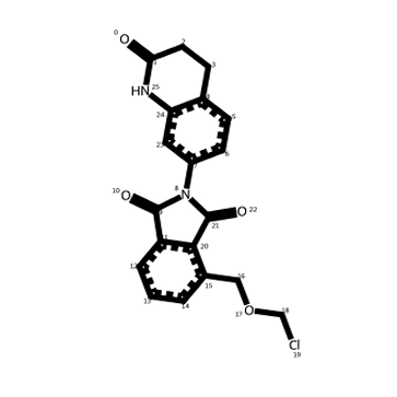 O=C1CCc2ccc(N3C(=O)c4cccc(COCCl)c4C3=O)cc2N1